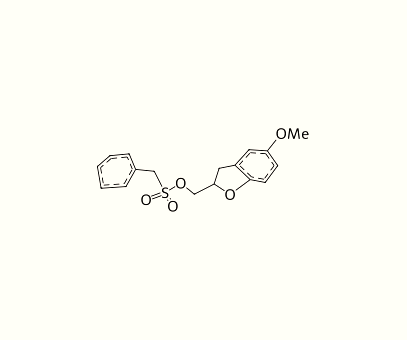 COc1ccc2c(c1)CC(COS(=O)(=O)Cc1ccccc1)O2